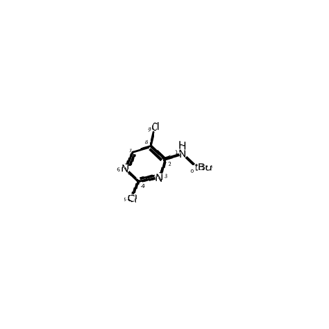 CC(C)(C)Nc1nc(Cl)ncc1Cl